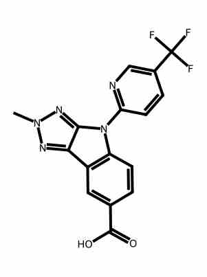 Cn1nc2c3cc(C(=O)O)ccc3n(-c3ccc(C(F)(F)F)cn3)c2n1